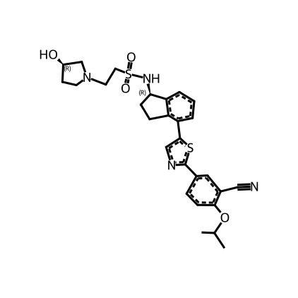 CC(C)Oc1ccc(-c2ncc(-c3cccc4c3CC[C@H]4NS(=O)(=O)CCN3CC[C@@H](O)C3)s2)cc1C#N